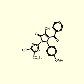 CCOC(=O)c1sc(N2C(=O)C(O)=C(C(=O)c3ccccc3)C2c2ccc(OC)cc2)nc1C